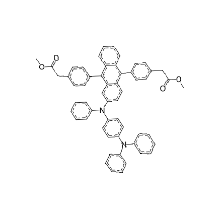 COC(=O)Cc1ccc(-c2c3ccccc3c(-c3ccc(CC(=O)OC)cc3)c3cc(N(c4ccccc4)c4ccc(N(c5ccccc5)c5ccccc5)cc4)ccc23)cc1